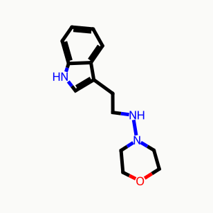 c1ccc2c(CCNN3CCOCC3)c[nH]c2c1